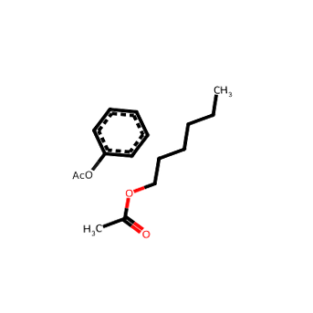 CC(=O)Oc1ccccc1.CCCCCCOC(C)=O